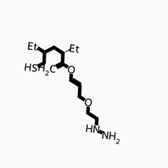 C=C(OC=CCOCCNN)[C@@H](CC)CC(CC)CS